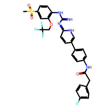 CS(=O)(=O)c1ccc(NC(=N)/N=c2/ccc(-c3ccc(NC(=O)Cc4ccc(F)cc4)cc3)c[nH]2)c(OCC(F)(F)F)c1